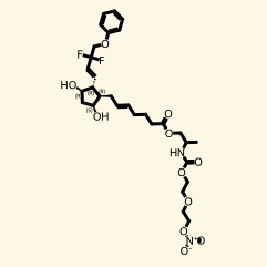 CC(COC(=O)CCCC=CC[C@@H]1[C@@H](C=CC(F)(F)COc2ccccc2)[C@H](O)C[C@@H]1O)NC(=O)OCCOCCO[N+](=O)[O-]